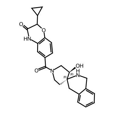 O=C1Nc2cc(C(=O)N3CC[C@]4(Cc5ccccc5CN4)[C@H](O)C3)ccc2OC1C1CC1